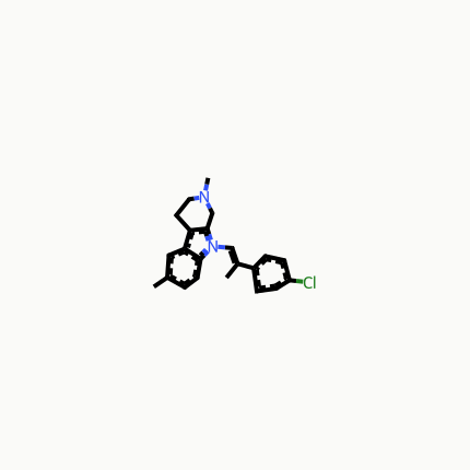 C/C(=C\n1c2c(c3cc(C)ccc31)CCN(C)C2)c1ccc(Cl)cc1